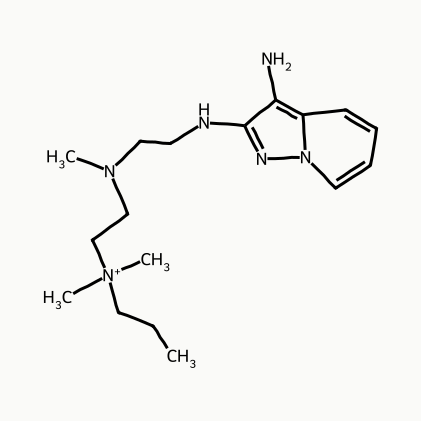 CCC[N+](C)(C)CCN(C)CCNc1nn2ccccc2c1N